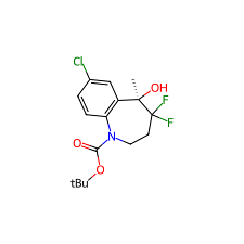 CC(C)(C)OC(=O)N1CCC(F)(F)[C@](C)(O)c2cc(Cl)ccc21